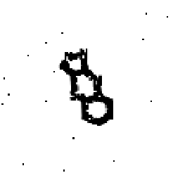 c1ccc2sc3cnnc-3nc2c1